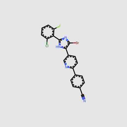 N#Cc1ccc(-c2ccc(-c3[nH]c(-c4c(F)cccc4Cl)nc3Br)cn2)cc1